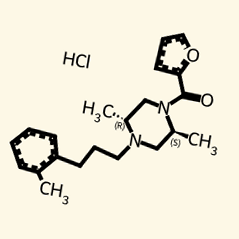 Cc1ccccc1CCCN1C[C@H](C)N(C(=O)c2ccco2)C[C@H]1C.Cl